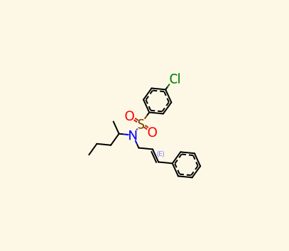 CCCC(C)N(C/C=C/c1ccccc1)S(=O)(=O)c1ccc(Cl)cc1